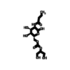 CCCC(=O)N[C@H]1C(O)O[C@H](COC(=O)OC(CO)CO)[C@@H](O)[C@@H]1O